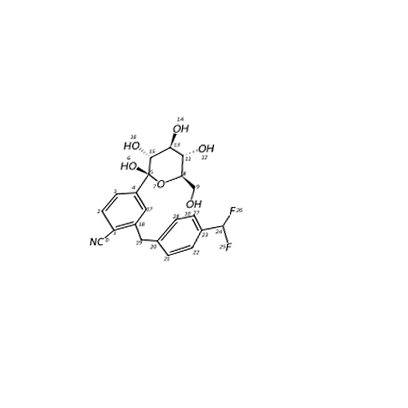 N#Cc1ccc([C@@]2(O)O[C@H](CO)[C@@H](O)[C@H](O)[C@H]2O)cc1Cc1ccc(C(F)F)cc1